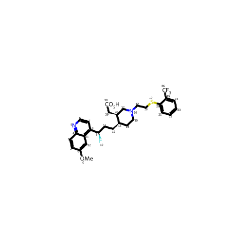 COc1ccc2nccc([C@H](F)CC[C@@H]3CCN(CCSc4ccccc4C(F)(F)F)C[C@@H]3CC(=O)O)c2c1